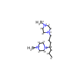 BN1CCN(CCCC(CCC)N2CCN(B)CC2)CC1